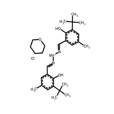 C1CCOCC1.Cc1cc(C=[N][Mn+][N]=Cc2cc(C)cc(C(C)(C)C)c2O)c(O)c(C(C)(C)C)c1.[Cl-]